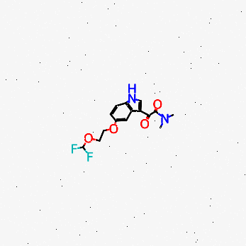 CN(C)C(=O)C(=O)c1c[nH]c2ccc(OCCOC(F)F)cc12